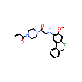 C=CC(=O)N1CCN(C(=O)CNc2cc(-c3ccccc3C)c(Cl)cc2OC)CC1